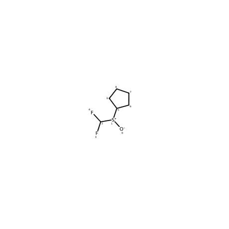 [O-][S+](C(F)F)C1CCCC1